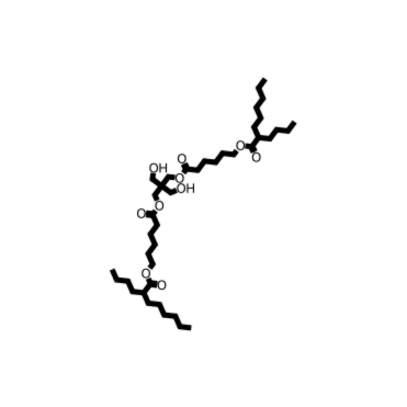 CCCCCCC(CCCC)C(=O)OCCCCCC(=O)OCC(CO)(CO)COC(=O)CCCCCOC(=O)C(CCCC)CCCCCC